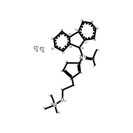 C[C](C)=[Zr+2]([C]1=CC(CCO[Si](C)(C)C)=CC1)[CH]1c2ccccc2-c2ccccc21.[Cl-].[Cl-]